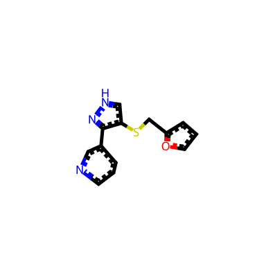 c1cncc(-c2n[nH]cc2SCc2ccco2)c1